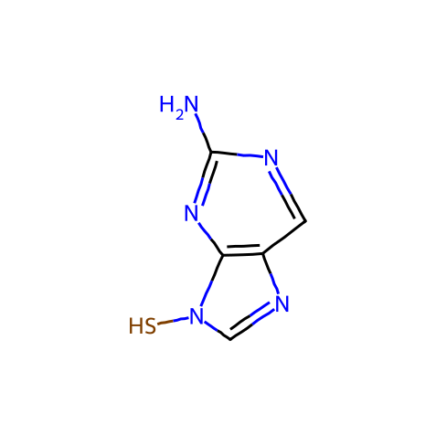 Nc1ncc2ncn(S)c2n1